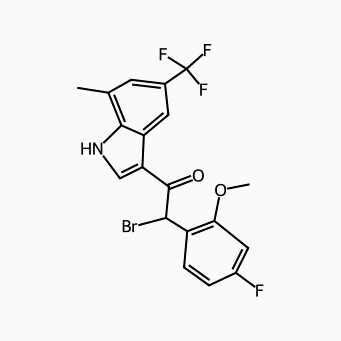 COc1cc(F)ccc1C(Br)C(=O)c1c[nH]c2c(C)cc(C(F)(F)F)cc12